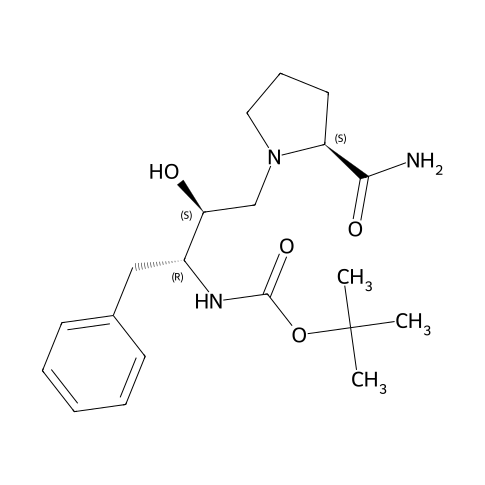 CC(C)(C)OC(=O)N[C@H](Cc1ccccc1)[C@@H](O)CN1CCC[C@H]1C(N)=O